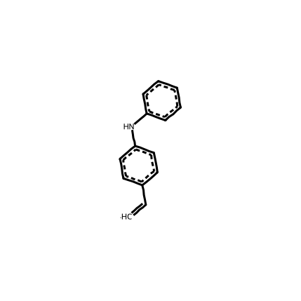 [CH]=Cc1ccc(Nc2ccccc2)cc1